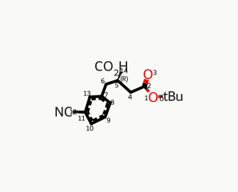 CC(C)(C)OC(=O)C[C@@H](Cc1cccc(C#N)c1)C(=O)O